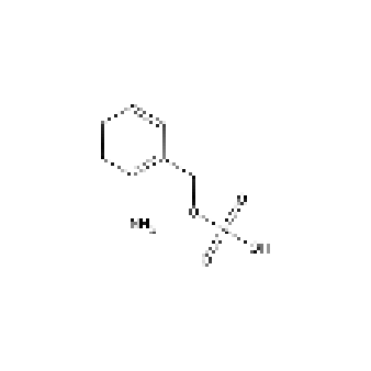 N.O=S(=O)(O)OCc1ccccc1